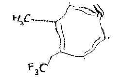 Cc1[c]n[c][c]c1C(F)(F)F